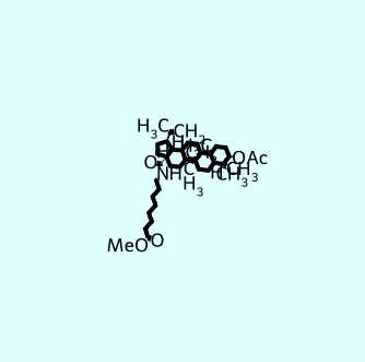 C=C(C)[C@@H]1CC[C@]2(C(=O)NCCCCCCCC(=O)OC)CC[C@]3(C)[C@H](CCC4[C@@]5(C)CC[C@H](OC(C)=O)C(C)(C)[C@@H]5CC[C@]43C)[C@@H]12